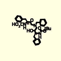 CC(C)(C)OC(=O)N[C@@H](Cc1ccccc1)C(O)CN(CC(=O)[C@H](Cc1ccccc1)NC(=O)O)Cc1ccccc1